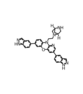 c1cc2c(cc1-c1ccc3[nH]ncc3c1)Oc1cc(-c3ccc4[nH]ncc4c3)cnc1N2CCN1C[C@H]2C[C@@H]1CN2